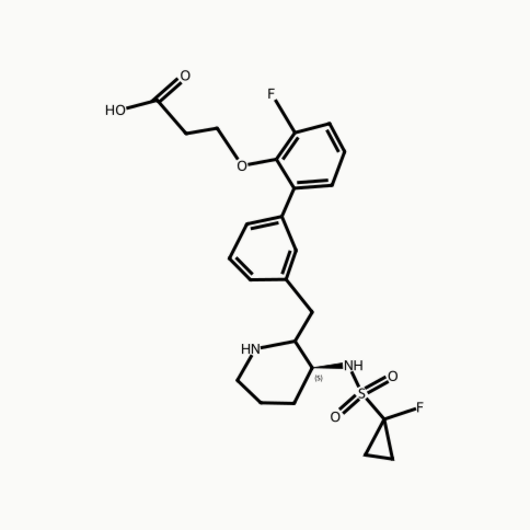 O=C(O)CCOc1c(F)cccc1-c1cccc(CC2NCCC[C@@H]2NS(=O)(=O)C2(F)CC2)c1